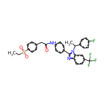 CCS(=O)(=O)c1ccc(CC(=O)Nc2ccc(-c3nc4ccc(C(F)(F)F)cc4n3C(C)c3ccc(F)cc3)cc2)cc1